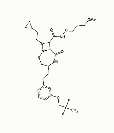 COCCCSNC(=O)C1C2C(=O)NC(CCc3cccc(OCC(C)(F)F)c3)CSN2N1CCC1CC1